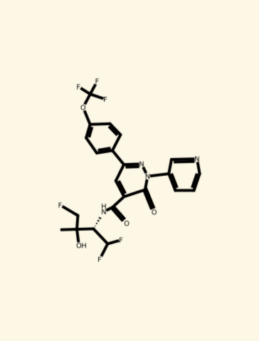 CC(O)(CF)[C@H](NC(=O)c1cc(-c2ccc(OC(F)(F)F)cc2)nn(-c2cccnc2)c1=O)C(F)F